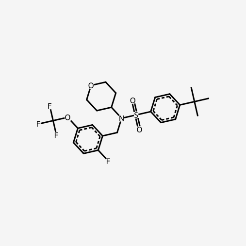 CC(C)(C)c1ccc(S(=O)(=O)N(Cc2cc(OC(F)(F)F)ccc2F)C2CCOCC2)cc1